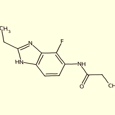 CCC(=O)Nc1ccc2[nH]c(CC)nc2c1F